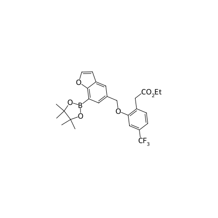 CCOC(=O)Cc1ccc(C(F)(F)F)cc1OCc1cc(B2OC(C)(C)C(C)(C)O2)c2occc2c1